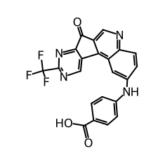 O=C(O)c1ccc(Nc2ccc3ncc4c(c3c2)-c2cnc(C(F)(F)F)nc2C4=O)cc1